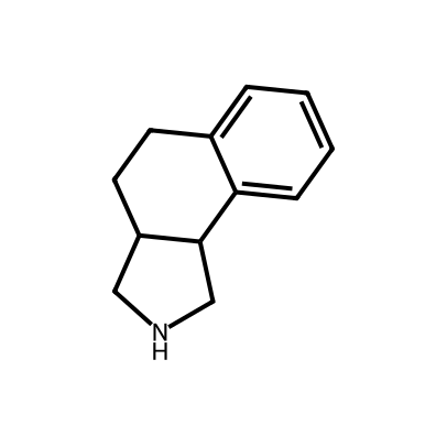 c1ccc2c(c1)CCC1CNCC21